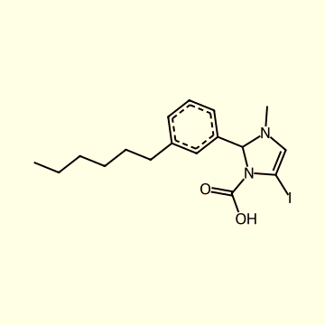 CCCCCCc1cccc(C2N(C)C=C(I)N2C(=O)O)c1